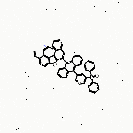 C=Cc1ccc2oc3c(-c4c5ccccc5c(-c5cncc(P(=O)(c6ccccc6)c6ccccc6)c5)c5ccccc45)cc4ccccc4c3c2c1/C=C\C